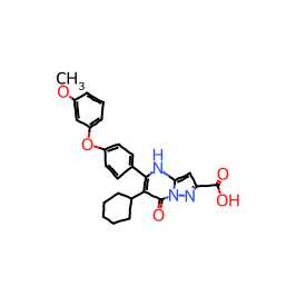 COc1cccc(Oc2ccc(-c3[nH]c4cc(C(=O)O)nn4c(=O)c3C3CCCCC3)cc2)c1